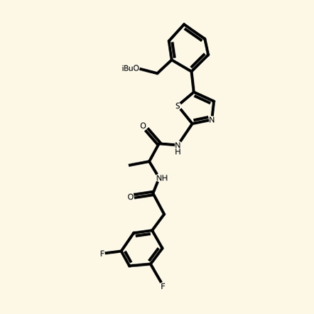 CC(C)COCc1ccccc1-c1cnc(NC(=O)C(C)NC(=O)Cc2cc(F)cc(F)c2)s1